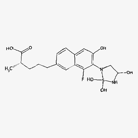 C[C@@H](CCCc1ccc2cc(O)c(N3CC(O)NS3(O)O)c(F)c2c1)C(=O)O